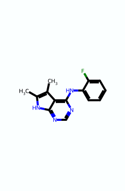 Cc1[nH]c2ncnc(Nc3ccccc3F)c2c1C